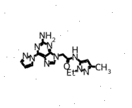 CCn1nc(C)cc1NC(=O)Cn1cnc2c(-n3cccn3)nc(N)nc21